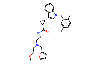 COCCN(CCNC(=O)[C@H]1C[C@@H]1c1cn(Cc2cc(C)ccc2C)c2ccccc12)Cc1ccco1